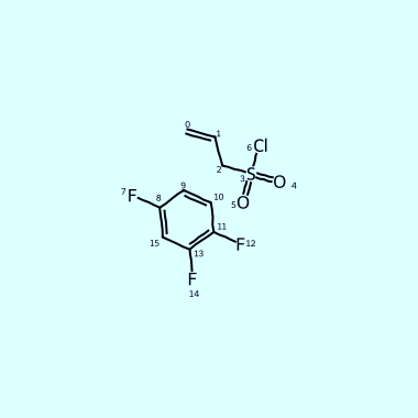 C=CCS(=O)(=O)Cl.Fc1ccc(F)c(F)c1